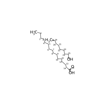 CCCCCCCCCCCCCCCC(=O)O.CCCCCCCCO